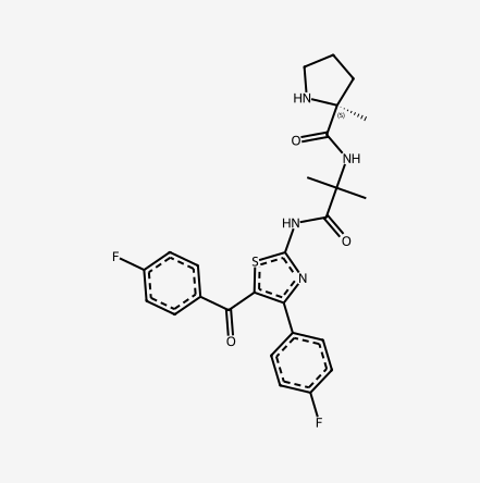 CC(C)(NC(=O)[C@]1(C)CCCN1)C(=O)Nc1nc(-c2ccc(F)cc2)c(C(=O)c2ccc(F)cc2)s1